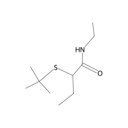 CCNC(=O)C(CC)SC(C)(C)C